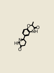 CC1Oc2ccc(C3=NNC(=O)CC3)cc2NC1=O